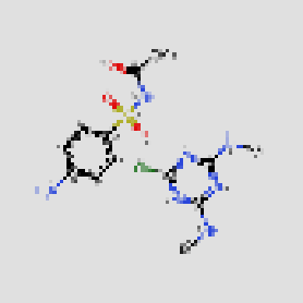 CCNc1nc(Cl)nc(NC(C)C)n1.COC(=O)NS(=O)(=O)c1ccc(N)cc1